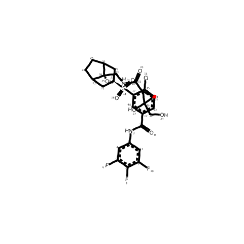 O=C(Nc1cc(F)c(F)c(F)c1)c1ccc(Cl)c(S(=O)(=O)[C@H]2CC3CCC(C2)[C@]3(O)CNC(=O)C2CC2(O)CO)c1